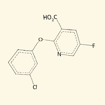 O=C(O)c1cc(F)cnc1Oc1cccc(Cl)c1